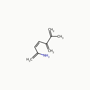 C=C(N)/C=C\C(=C)C(=C)C